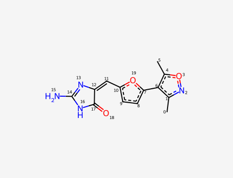 Cc1noc(C)c1-c1ccc(/C=C2/N=C(N)NC2=O)o1